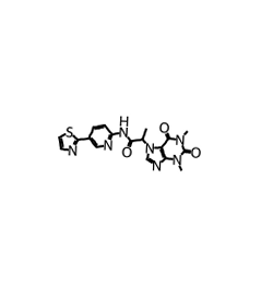 CC(C(=O)Nc1ccc(-c2nccs2)cn1)n1cnc2c1c(=O)n(C)c(=O)n2C